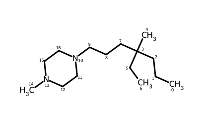 CCCC(C)(CC)CCCN1CCN(C)CC1